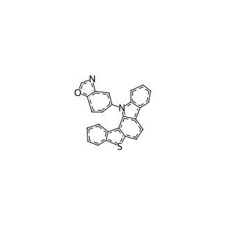 c1ccc2c(c1)sc1ccc3c4ccccc4n(-c4ccc5ocnc5c4)c3c12